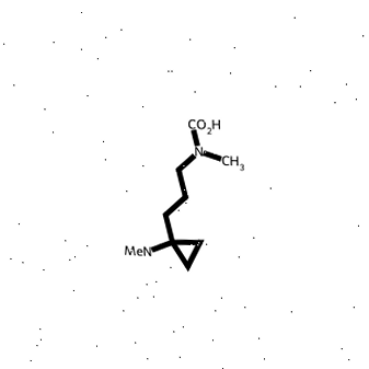 CNC1(CCCN(C)C(=O)O)CC1